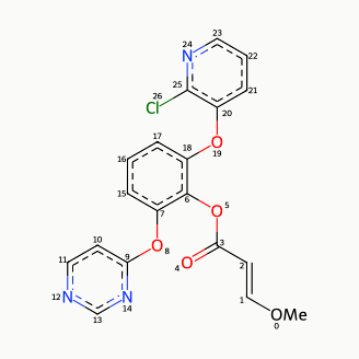 COC=CC(=O)Oc1c(Oc2ccncn2)cccc1Oc1cccnc1Cl